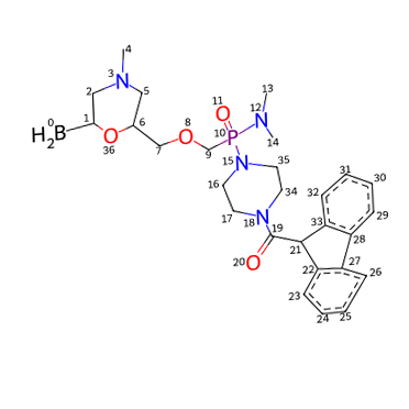 BC1CN(C)CC(COCP(=O)(N(C)C)N2CCN(C(=O)C3c4ccccc4-c4ccccc43)CC2)O1